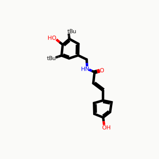 CC(C)(C)c1cc(CNC(=O)C=Cc2ccc(O)cc2)cc(C(C)(C)C)c1O